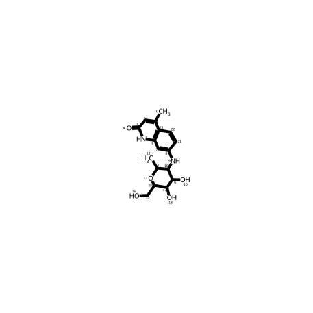 Cc1cc(=O)[nH]c2cc(NC3C(C)OC(CO)C(O)C3O)ccc12